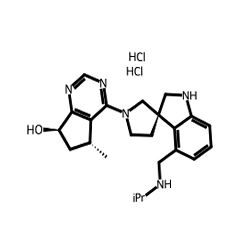 CC(C)NCc1cccc2c1[C@@]1(CCN(c3ncnc4c3[C@H](C)C[C@H]4O)C1)CN2.Cl.Cl